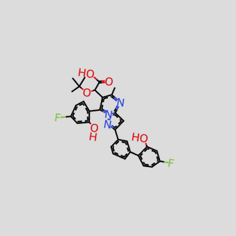 Cc1nc2cc(-c3cccc(-c4ccc(F)cc4O)c3)nn2c(-c2ccc(F)cc2O)c1C(OC(C)(C)C)C(=O)O